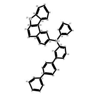 c1ccc(-c2ccc(-c3cccc(N(c4ccccc4)c4ccc5ccc6oc7ccccc7c6c5c4)c3)cc2)cc1